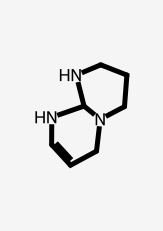 C1=CNC2NCCCN2C1